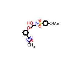 COc1ccc(S(=O)(=O)NCC(O)COc2cccc(-c3noc(C)n3)c2)cc1